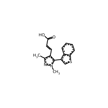 Cc1nn(C)c(-c2csc3ccccc23)c1C=CC(=O)O